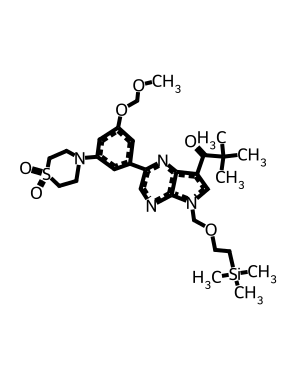 COCOc1cc(-c2cnc3c(n2)c(C(=O)C(C)(C)C)cn3COCC[Si](C)(C)C)cc(N2CCS(=O)(=O)CC2)c1